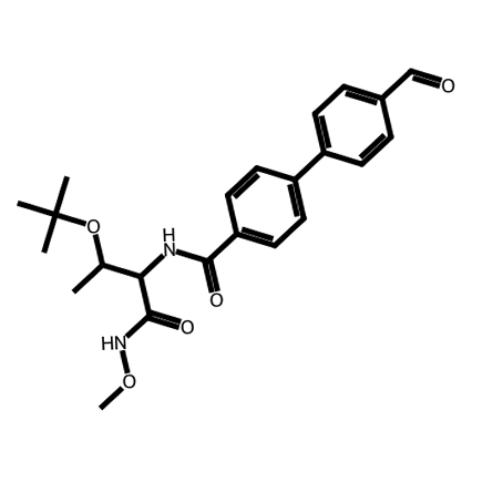 CONC(=O)C(NC(=O)c1ccc(-c2ccc(C=O)cc2)cc1)C(C)OC(C)(C)C